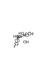 Cl.O[C@@H](CNC[C@H](O)[C@H]1CCc2cc(F)ccc2O1)[C@@H]1CCc2cc(F)ccc2O1